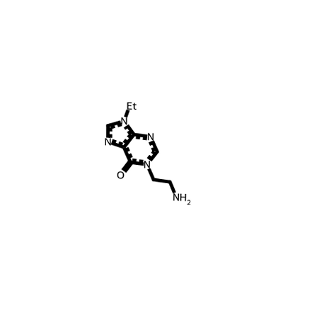 CCn1cnc2c(=O)n(CCN)cnc21